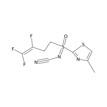 Cc1csc(S(=O)(CCC(F)=C(F)F)=NC#N)n1